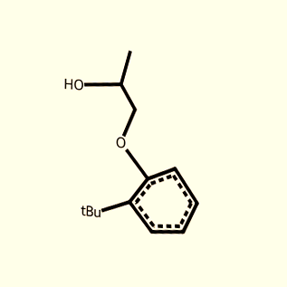 CC(O)COc1ccccc1C(C)(C)C